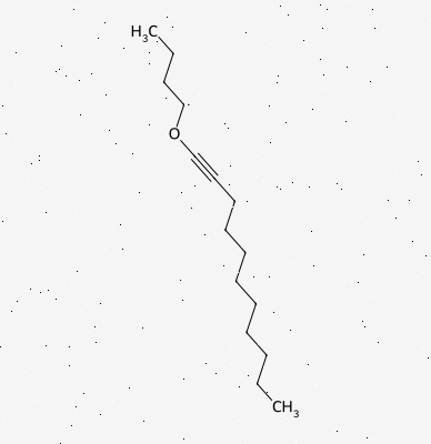 CCC[CH]OC#CCCCCCCCCC